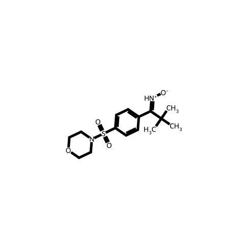 CC(C)(C)C(=[NH+][O-])c1ccc(S(=O)(=O)N2CCOCC2)cc1